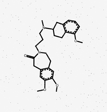 COc1cc2c(cc1OC)CC(=O)N(CCCN(C)C1CCc3c(cccc3OC)C1)CC2